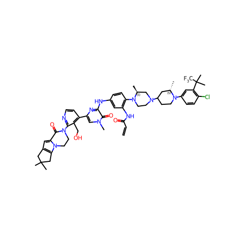 C=CC(=O)Nc1cc(Nc2nc(-c3ccnc(N4CCn5c(cc6c5CC(C)(C)C6)C4=O)c3CO)cn(C)c2=O)ccc1N1CCN(C2CCN(c3ccc(Cl)c(C(C)(C)C(F)(F)F)c3)[C@@H](C)C2)C[C@@H]1C